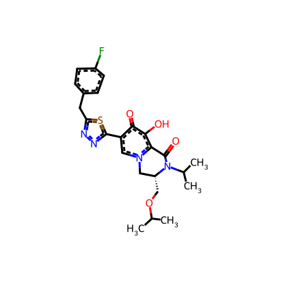 CC(C)OC[C@@H]1Cn2cc(-c3nnc(Cc4ccc(F)cc4)s3)c(=O)c(O)c2C(=O)N1C(C)C